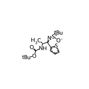 C[C@H](NC(=O)OC(C)(C)C)/C(=N/[S+]([O-])C(C)(C)C)c1cccs1